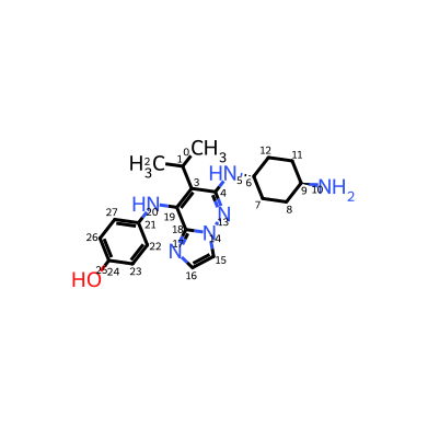 CC(C)c1c(N[C@H]2CC[C@H](N)CC2)nn2ccnc2c1Nc1ccc(O)cc1